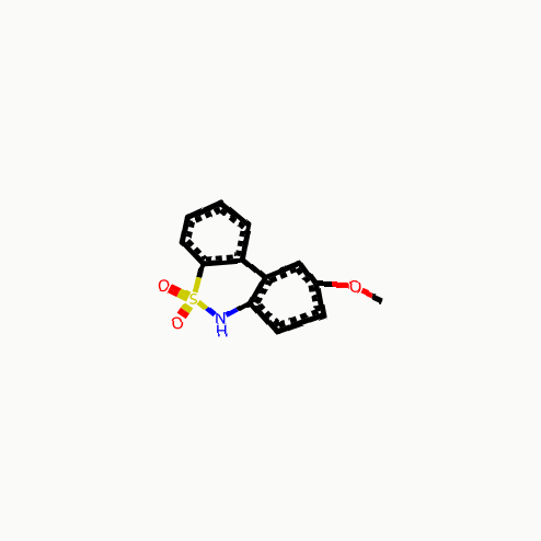 COc1ccc2c(c1)-c1ccccc1S(=O)(=O)N2